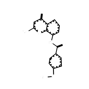 CCCCOc1ccc(C(=O)Nc2cccc3c(=O)cc(C#N)oc23)cc1